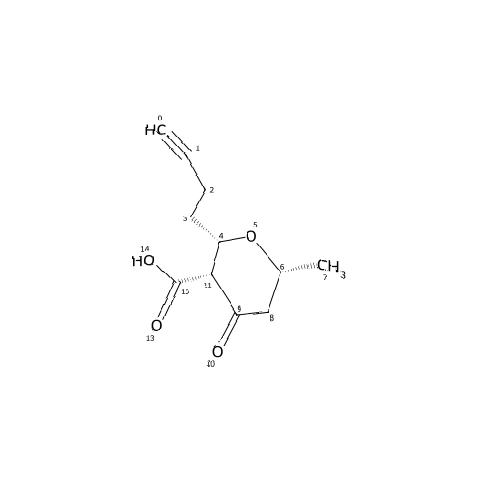 C#CCC[C@@H]1O[C@H](C)CC(=O)[C@@H]1C(=O)O